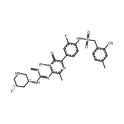 C=N/C(=N\c1c(C)nc(-c2ccc(NS(=O)(=O)Cc3ccc(C)cc3C#N)c(F)c2)c(=O)n1C(C)C)N[C@@H]1CNC[C@@H](F)C1